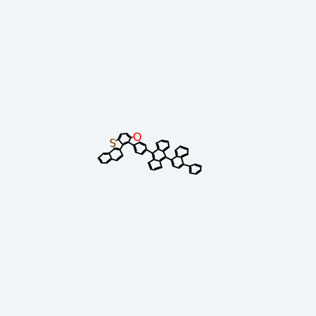 c1ccc(-c2ccc(-c3c4ccccc4c(-c4ccc5c(c4)oc4ccc6sc7c8ccccc8ccc7c6c45)c4ccccc34)c3ccccc23)cc1